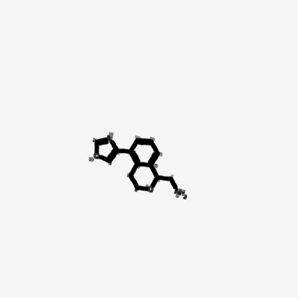 NCC1OCCc2c(-c3cocn3)cccc21